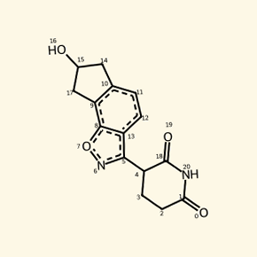 O=C1CCC(c2noc3c4c(ccc23)CC(O)C4)C(=O)N1